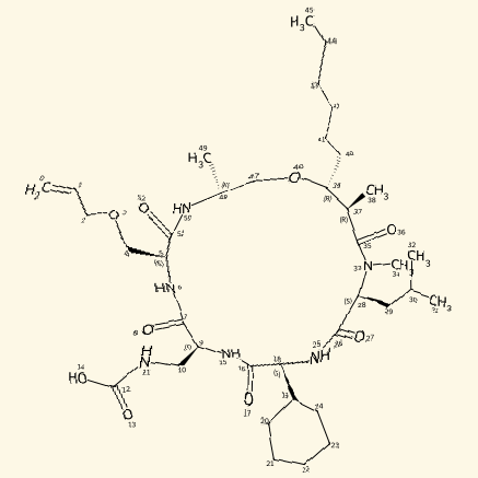 C=CCOC[C@@H]1NC(=O)[C@H](CNC(=O)O)NC(=O)[C@H](C2CCCCC2)NC(=O)[C@H](CC(C)C)N(C)C(=O)[C@H](C)[C@@H](CCCCCC)OC[C@@H](C)NC1=O